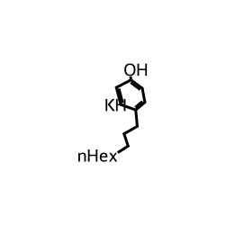 CCCCCCCCCc1ccc(O)cc1.[KH]